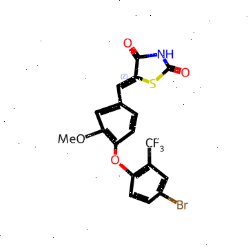 COc1cc(/C=C2\SC(=O)NC2=O)ccc1Oc1ccc(Br)cc1C(F)(F)F